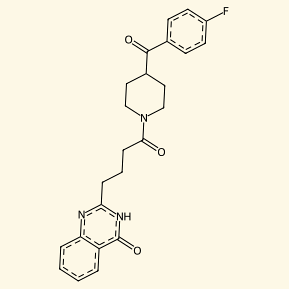 O=C(c1ccc(F)cc1)C1CCN(C(=O)CCCc2nc3ccccc3c(=O)[nH]2)CC1